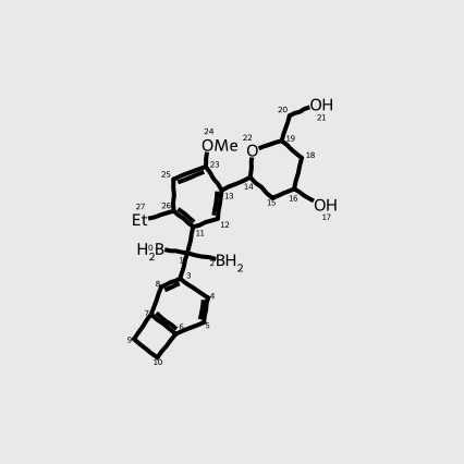 BC(B)(c1ccc2c(c1)CC2)c1cc(C2CC(O)CC(CO)O2)c(OC)cc1CC